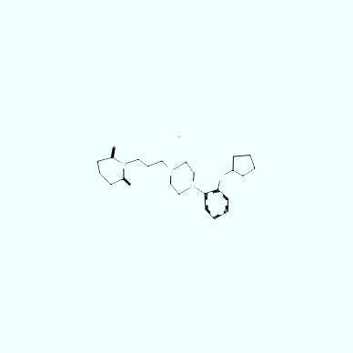 Cl.O=C1CCCC(=O)N1CCCN1CCN(c2ccccc2OC2CCCC2)CC1